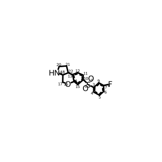 O=S(=O)(c1cccc(F)c1)c1ccc2c(c1)OCC1NCCC21